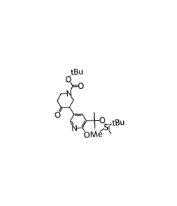 COc1ncc(C2CN(C(=O)OC(C)(C)C)CCC2=O)cc1C(C)(C)O[Si](C)(C)C(C)(C)C